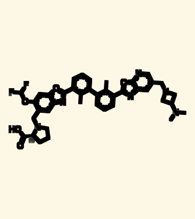 Cc1c(-c2nc3cc(CN4CCC[C@H]4C(=O)O)c(OC(F)F)cc3o2)cccc1-c1cccc(-c2nc3cc(CN4CC(N(C)C)C4)cnc3o2)c1C